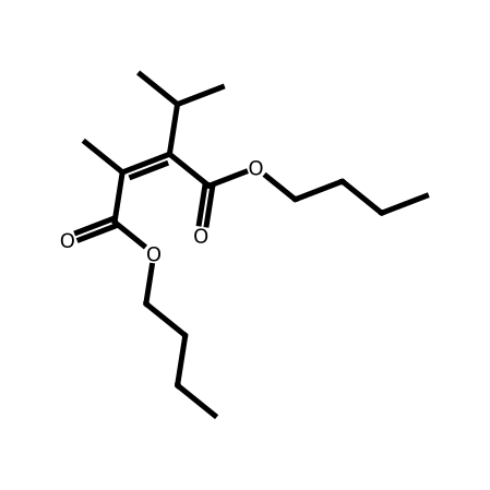 CCCCOC(=O)C(C)=C(C(=O)OCCCC)C(C)C